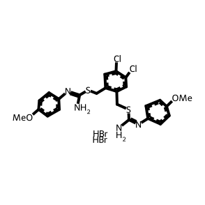 Br.Br.COc1ccc(N=C(N)SCc2cc(Cl)c(Cl)cc2CS/C(N)=N/c2ccc(OC)cc2)cc1